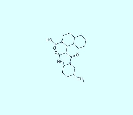 CC1CCCN(C(=O)C(C(N)=O)C2C3CCCCC3CCN2C(=O)O)C1